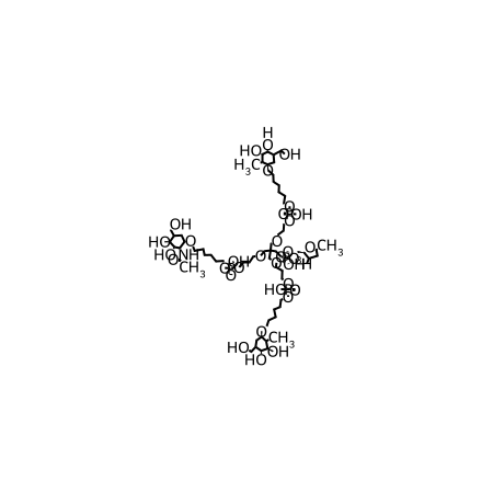 [3H]C1C[C@H](C)O[C@@H]1COP(=O)(O)OCC(COCCCOP(=O)(O)OCCCCCCO[C@@H]1CC(CO)[C@H](O)[C@H](O)C1C)(COCCCOP(=O)(O)OCCCCCCO[C@@H]1CC(CO)[C@H](O)[C@H](O)C1C)COCCCOP(=O)(O)OCCCCCCO[C@@H]1CC(CO)[C@H](O)[C@H](O)C1NC(C)=O